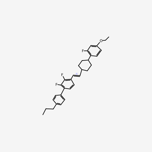 CCCc1ccc(-c2ccc(/C=C/C3CCC(c4ccc(OCC)cc4F)CC3)c(F)c2F)cc1